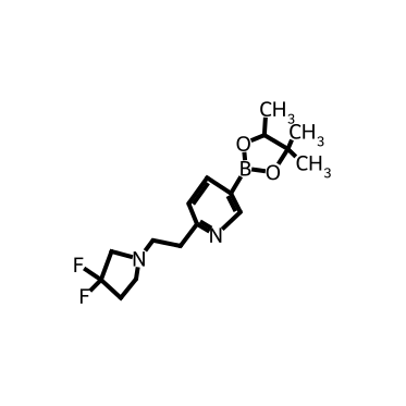 CC1OB(c2ccc(CCN3CCC(F)(F)C3)nc2)OC1(C)C